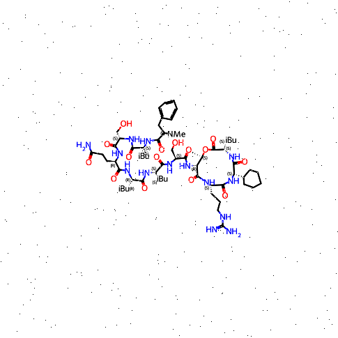 CC[C@@H](C)[C@@H](NC(=O)[C@@H](CCC(N)=O)NC(=O)[C@H](CO)NC(=O)[C@@H](NC(=O)[C@@H](Cc1ccccc1)NC)[C@@H](C)CC)C(=O)N[C@H](C(=O)N[C@@H](CO)C(=O)N[C@H]1C(=O)N[C@@H](CCCNC(=N)N)C(=O)N[C@@H](C2CCCCC2)C(=O)N[C@@H]([C@@H](C)CC)C(=O)O[C@H]1C)[C@@H](C)CC